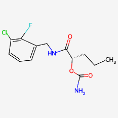 CCC[C@H](OC(N)=O)C(=O)NCc1cccc(Cl)c1F